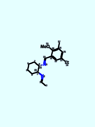 CC=N[C@H]1CCCC[C@@H]1N=Cc1cc(CC)cc(C)c1OC